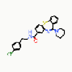 O=C(NCCc1ccc(Cl)cc1)c1ccc2c(c1)N=C(N1CCCCC1)c1ccccc1S2